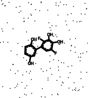 Oc1ccc(O)c(-c2cc(F)c(O)c(O)c2F)c1